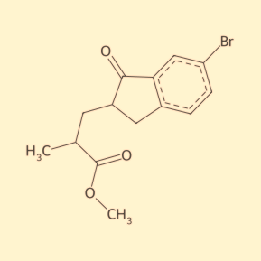 COC(=O)C(C)CC1Cc2ccc(Br)cc2C1=O